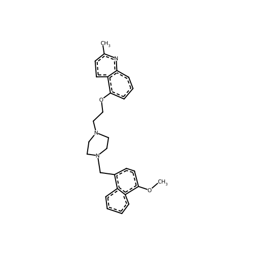 COc1ccc(CN2CCN(CCOc3cccc4nc(C)ccc34)CC2)c2ccccc12